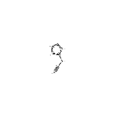 N#CSc1nccs1